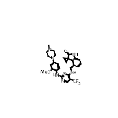 COc1cc(N2CCN(C)CC2)ccc1Nc1ncc(C(F)(F)F)c(NCc2cccc3c2C2(CC2)C(=O)N3)n1